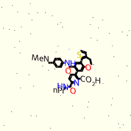 CCCNC(=O)c1ccc(-c2cc3c(cc2C(=O)Nc2ccc(CNC)cc2)-c2sccc2CCO3)c(C(=O)O)n1